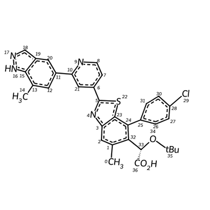 Cc1cc2nc(-c3ccnc(-c4cc(C)c5[nH]ncc5c4)c3)sc2c(-c2ccc(Cl)cc2)c1[C@H](OC(C)(C)C)C(=O)O